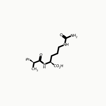 CC(C)[C@H](C)C(=O)N[C@@H](CCCNC(N)=O)C(=O)O